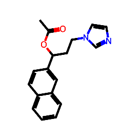 CC(=O)OC(CCn1ccnc1)c1ccc2ccccc2c1